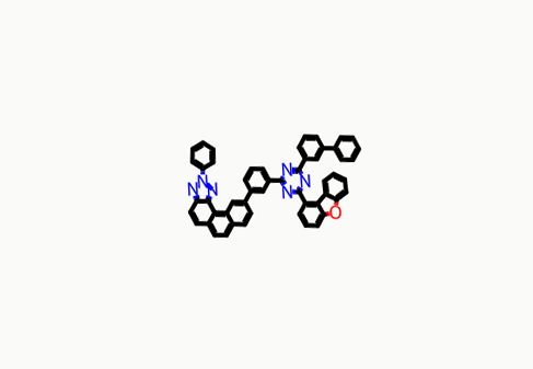 c1ccc(-c2cccc(-c3nc(-c4cccc(-c5ccc6ccc7ccc8nn(-c9ccccc9)nc8c7c6c5)c4)nc(-c4cccc5oc6ccccc6c45)n3)c2)cc1